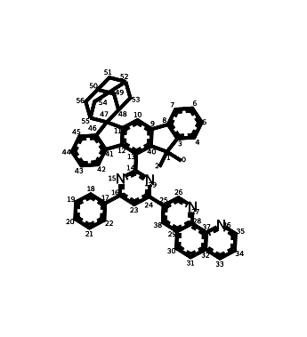 CC1(C)c2ccccc2-c2cc3c(c(-c4nc(-c5ccccc5)cc(-c5cnc6c(ccc7cccnc76)c5)n4)c21)-c1ccccc1C31C2CC3CC(C2)CC1C3